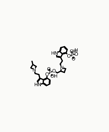 CC1CN(CCc2c[nH]c3cccc(OP(=O)(O)OCC4CCN4CCc4c[nH]c5cccc(OP(=O)(O)O)c45)c23)C1